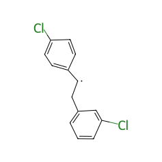 Clc1ccc([CH]Cc2cccc(Cl)c2)cc1